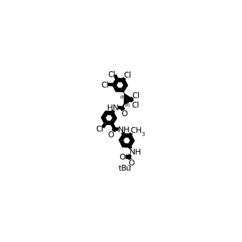 Cc1cc(NC(=O)OC(C)(C)C)ccc1NC(=O)c1cc(NC(=O)[C@H]2[C@H](c3cc(Cl)c(Cl)c(Cl)c3)C2(Cl)Cl)ccc1Cl